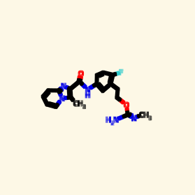 C/N=C(/N)OCCc1cc(NC(=O)c2nc3ccccn3c2C)ccc1F